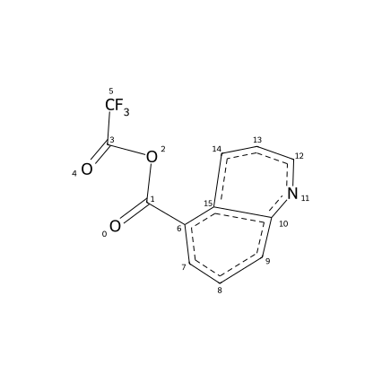 O=C(OC(=O)C(F)(F)F)c1cccc2ncccc12